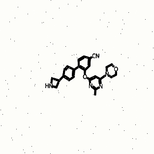 Cc1nc(Oc2cc(C#N)ccc2-c2ccc(C3CNC3)cc2)cc(N2CCOCC2)n1